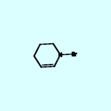 BrN1C=CCCC1